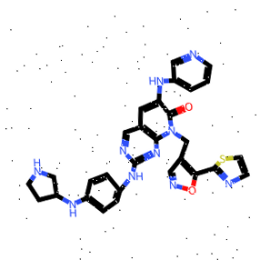 O=c1c(Nc2cccnc2)cc2cnc(Nc3ccc(NC4CCNC4)cc3)nc2n1Cc1cnoc1-c1nccs1